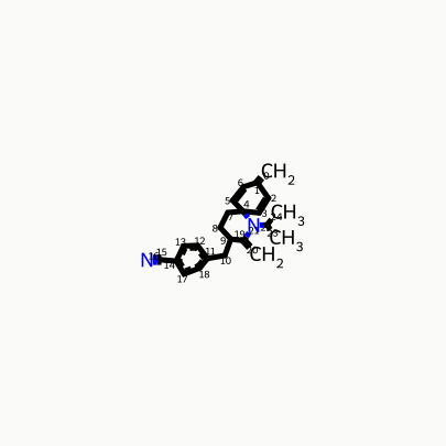 C=C1C=CC2(C=C1)CCC(Cc1ccc(C#N)cc1)C(=C)N2C(C)C